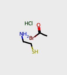 CC(=O)Br.Cl.NCCS